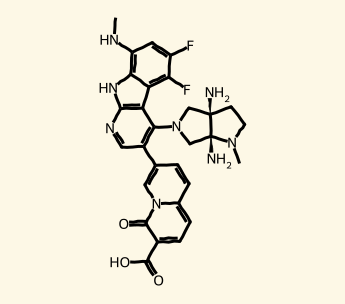 CNc1cc(F)c(F)c2c1[nH]c1ncc(-c3ccc4ccc(C(=O)O)c(=O)n4c3)c(N3C[C@]4(N)CCN(C)[C@]4(N)C3)c12